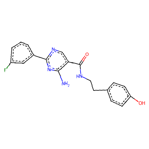 Nc1nc(-c2cccc(F)c2)ncc1C(=O)NCCc1ccc(O)cc1